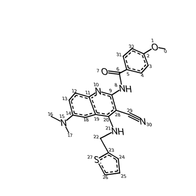 COc1ccc(C(=O)Nc2nc3ccc(N(C)C)cc3c(NCc3cccs3)c2C#N)cc1